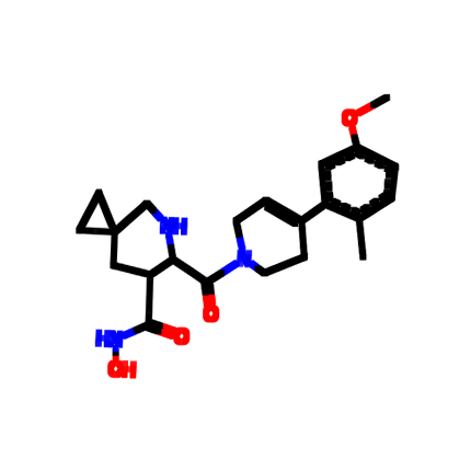 COc1ccc(C)c(C2=CCN(C(=O)C3NCC4(CC4)CC3C(=O)NO)CC2)c1